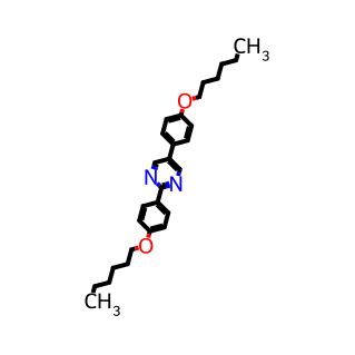 CCCCCCOc1ccc(-c2cnc(-c3ccc(OCCCCCC)cc3)nc2)cc1